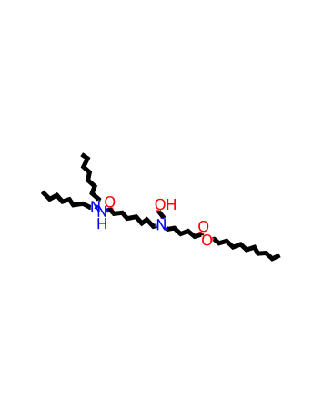 CCCCCCCCCCCOC(=O)CCCCCN(CCO)CCCCCCCC(=O)NN(CCCCCCCC)CCCCCCCC